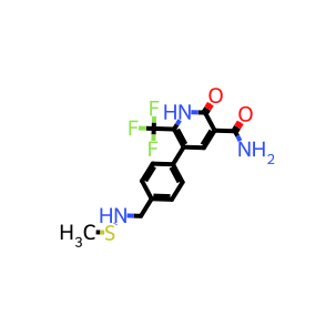 CSNCc1ccc(-c2cc(C(N)=O)c(=O)[nH]c2C(F)(F)F)cc1